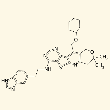 CC1(C)Cc2nc3sc4c(NCCc5ccc6[nH]cnc6c5)ncnc4c3c(COC3CCCCC3)c2CO1